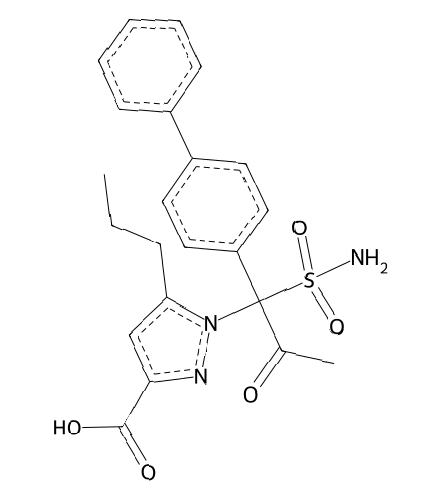 CCCc1cc(C(=O)O)nn1C(C(C)=O)(c1ccc(-c2ccccc2)cc1)S(N)(=O)=O